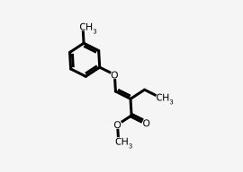 CC/C(=C\Oc1cccc(C)c1)C(=O)OC